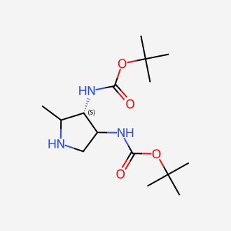 CC1NCC(NC(=O)OC(C)(C)C)[C@H]1NC(=O)OC(C)(C)C